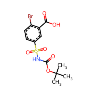 CC(C)(C)OC(=O)NS(=O)(=O)c1ccc(Br)c(C(=O)O)c1